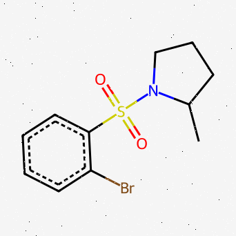 CC1CCCN1S(=O)(=O)c1ccccc1Br